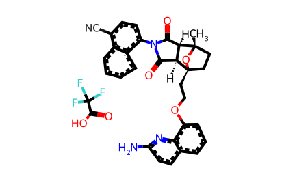 C[C@@]12CC[C@@](CCOc3cccc4ccc(N)nc34)(O1)[C@H]1C(=O)N(c3ccc(C#N)c4ccccc34)C(=O)[C@H]12.O=C(O)C(F)(F)F